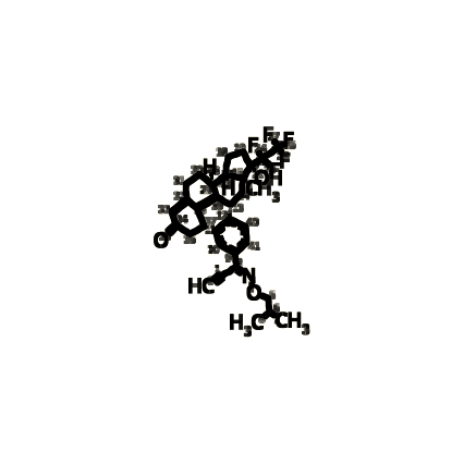 C#CC(=NOCC(C)C)c1ccc([C@H]2C[C@@]3(C)[C@@H](CC[C@@]3(O)C(F)(F)C(F)(F)F)[C@@H]3CCC4=CC(=O)CCC4=C32)cc1